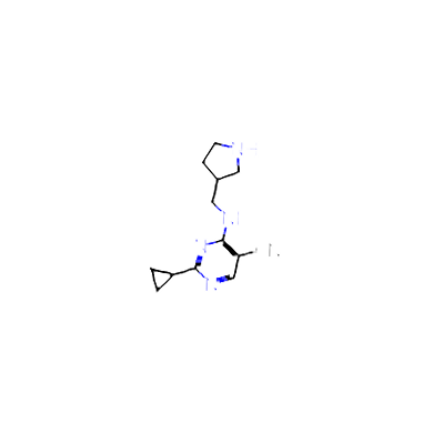 N#Cc1cnc(C2CC2)nc1NCC1CCNC1